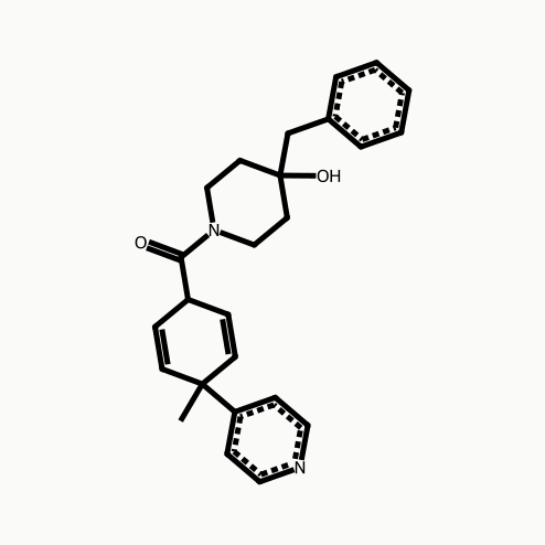 CC1(c2ccncc2)C=CC(C(=O)N2CCC(O)(Cc3ccccc3)CC2)C=C1